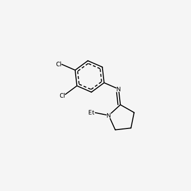 CCN1CCCC1=Nc1ccc(Cl)c(Cl)c1